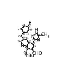 CCCCOc1c(C=O)cc(-c2n[nH]c(C)n2)c2cc(Cc3ccc(F)cc3)cnc12